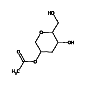 CC(=O)OC1COC(CO)C(O)C1